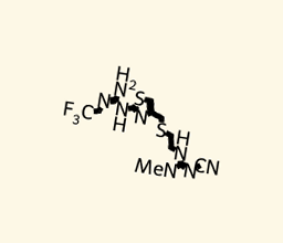 CN/C(=N/C#N)NCCSCc1csc(N/C(N)=N\CC(F)(F)F)n1